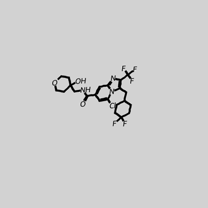 O=C(NCC1(O)CCOCC1)c1cc(Cl)n2c(CC3CCC(F)(F)CC3)c(C(F)(F)F)nc2c1